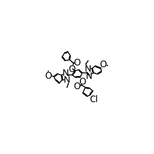 CCn1c(-c2cc(OC(=O)c3ccc(Cl)cc3)c(-c3nc4ccc(OC)cc4n3CC)cc2OC(=O)c2ccccc2)nc2cc(OC)ccc21